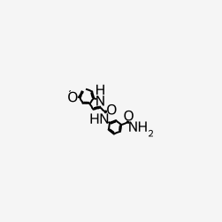 C=C(/C=c1/cc(C(=O)Nc2cccc(C(N)=O)c2)[nH]/c1=C/C)OC